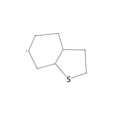 [CH]1CCC2CCSC2C1